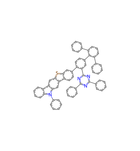 c1ccc(-c2nc(-c3ccccc3)nc(-c3cc(-c4c(-c5ccccc5)cccc4-c4ccccc4)ccc3-c3ccc4c(c3)sc3cc5c6ccccc6n(-c6ccccc6)c5cc34)n2)cc1